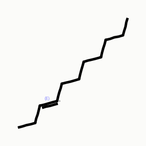 CC/C=[C]/CCCCCCC